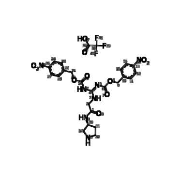 O=C(CN/C(=N\C(=O)OCc1ccc([N+](=O)[O-])cc1)NC(=O)OCc1ccc([N+](=O)[O-])cc1)N[C@H]1CCNC1.O=C(O)C(F)(F)F